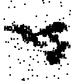 CC[N+]1=C(/C=C/C=C/C=C2/N(CCCCCC(=O)NC(CSSCCC(=O)NCC#Cc3cn([C@H]4C[C@@H](O)[C@@H](COP(=O)(O)OP(=O)(O)OP(=O)(O)O)O4)c4ncnc(N)c34)C(=O)NCCCCC(C)(P(=O)(O)O)P(=O)(O)O)c3ccc(S(=O)(=O)O)cc3C2(C)C)C(C)(C)c2cc(S(=O)(=O)O)ccc21